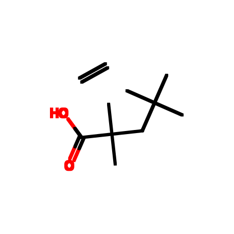 C=C.CC(C)(C)CC(C)(C)C(=O)O